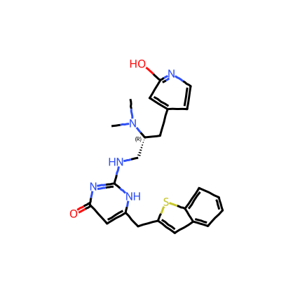 CN(C)[C@@H](CNc1nc(=O)cc(Cc2cc3ccccc3s2)[nH]1)Cc1ccnc(O)c1